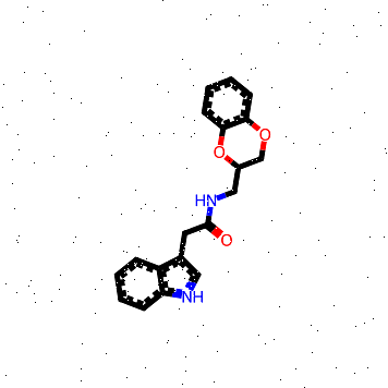 O=C(Cc1c[nH]c2ccccc12)NCC1COc2ccccc2O1